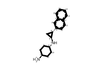 N[C@H]1CC[C@H](N[C@H]2C[C@@H]2c2ccc3ccccc3c2)CC1